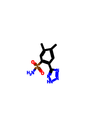 Cc1cc(-c2nn[nH]n2)c(S(N)(=O)=O)cc1C